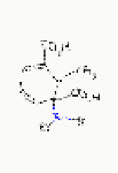 CCN(CC)C1(C(=O)O)C=CC=C(C(=O)O)C1C